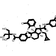 C[C@]1(C(=O)Nc2cccc(Cl)c2)[C@@H](c2cccc(Cl)c2F)[C@@H]2c3nc4cc(C(=O)NC(CO)(CO)CO)ccc4n3CC[C@@H]2N1CC1CC1